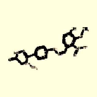 COc1c(O)ccc(/C=N\Nc2ccc(C3=NNC(=O)C[C@H]3C)cc2)c1[N+](=O)[O-]